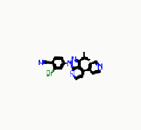 CC(C)c1nn(-c2ccc(C#N)c(Br)c2)c2nccc(-c3ccncc3)c12